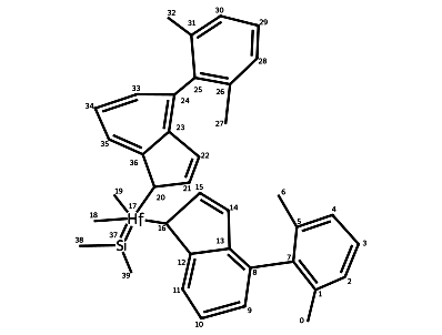 Cc1cccc(C)c1-c1cccc2c1C=C[CH]2[Hf]([CH3])([CH3])([CH]1C=Cc2c(-c3c(C)cccc3C)cccc21)=[Si](C)C